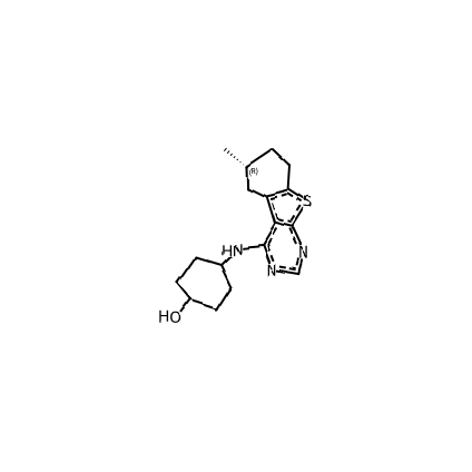 C[C@@H]1CCc2sc3ncnc(NC4CCC(O)CC4)c3c2C1